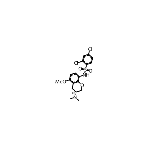 COc1ccc(NS(=O)(=O)c2ccc(Cl)cc2Cl)c2c1C[C@@H](N(C)C)CO2